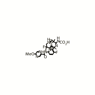 COc1cnc(C(=O)Nc2ccc(F)c([C@@]3(C)N=C(NC(=O)O)C(C)(C)[SH]4(=O)NCC(F)(F)C[C@H]34)n2)cn1